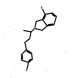 CC(CCc1ccc(F)cc1)N1Cc2cccc(F)c2C1